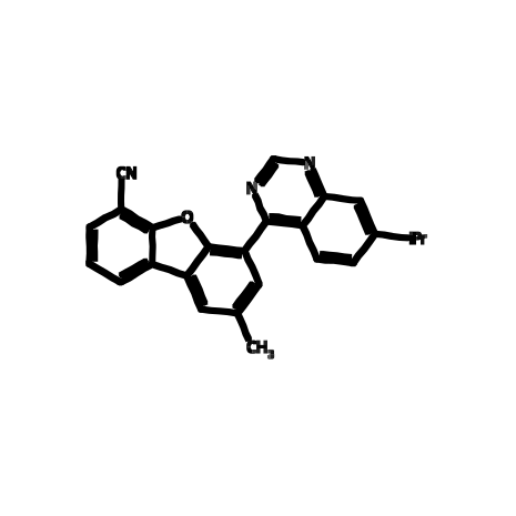 Cc1cc(-c2ncnc3cc(C(C)C)ccc23)c2oc3c(C#N)cccc3c2c1